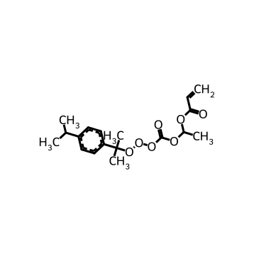 C=CC(=O)OC(C)OC(=O)OOOC(C)(C)c1ccc(C(C)C)cc1